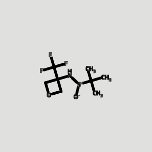 CC(C)(C)[S+]([O-])NC1(C(F)(F)F)COC1